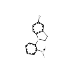 O=[N+]([O-])c1ccccc1N1CCc2cc(Br)ccc21